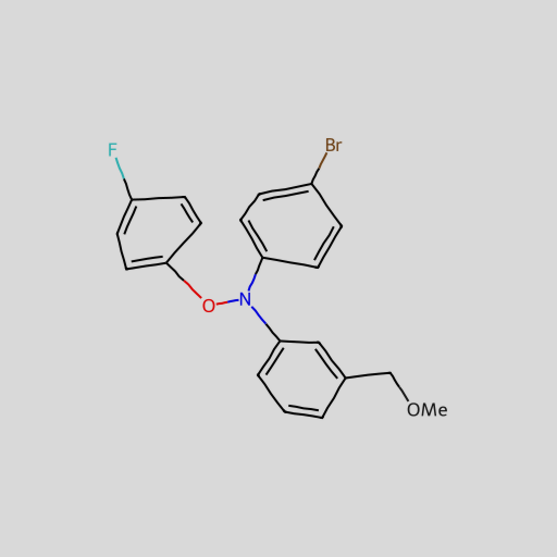 [CH2]OCc1cccc(N(Oc2ccc(F)cc2)c2ccc(Br)cc2)c1